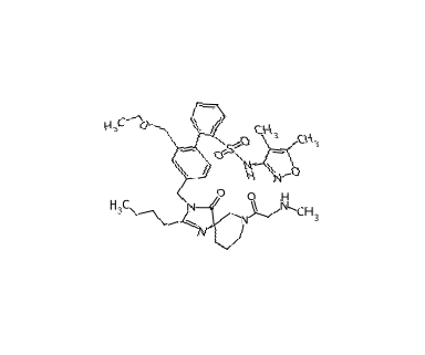 CCCCC1=NC2(CCCN(C(=O)CNC)C2)C(=O)N1Cc1ccc(-c2ccccc2S(=O)(=O)Nc2noc(C)c2C)c(COCC)c1